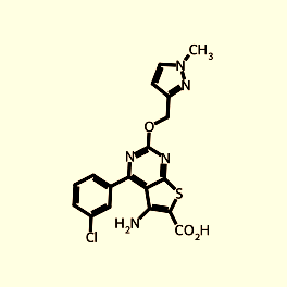 Cn1ccc(COc2nc(-c3cccc(Cl)c3)c3c(N)c(C(=O)O)sc3n2)n1